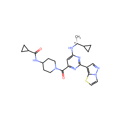 C[C@@H](Nc1cc(C(=O)N2CCC(NC(=O)C3CC3)CC2)nc(-c2cnn3ccsc23)n1)C1CC1